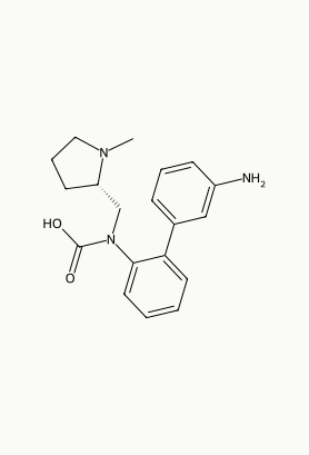 CN1CCC[C@H]1CN(C(=O)O)c1ccccc1-c1cccc(N)c1